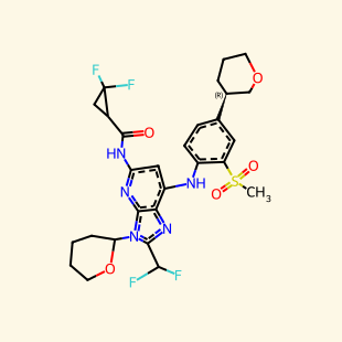 CS(=O)(=O)c1cc([C@H]2CCCOC2)ccc1Nc1cc(NC(=O)C2CC2(F)F)nc2c1nc(C(F)F)n2C1CCCCO1